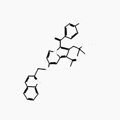 CCOC(=O)C(C)(C)Cc1c(C(=O)C(C)(C)C)c2cc(OCc3ccc4ccccc4n3)ccn2c1C(=O)c1ccc(Cl)cc1